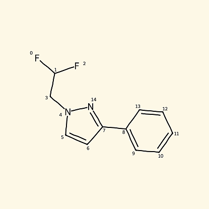 FC(F)Cn1ccc(-c2ccccc2)n1